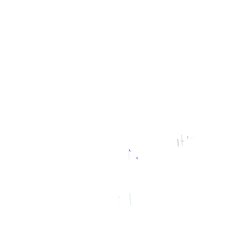 CC(C)=C(C)N(Cl)C(C)C